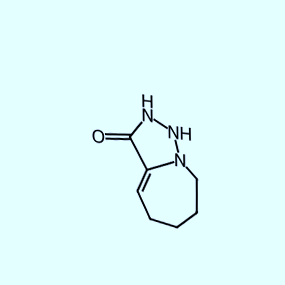 O=C1NNN2CCCCC=C12